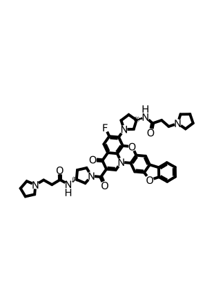 O=C(CCN1CCCC1)N[C@@H]1CCN(C(=O)c2cn3c4c(c(N5CC[C@@H](NC(=O)CCN6CCCC6)C5)c(F)cc4c2=O)Oc2cc4c(cc2-3)oc2ccccc24)C1